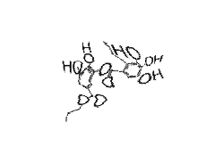 CCCOC(=O)c1cc(O)c(O)c(OC(=O)c2cc(O)c(O)c(O)c2CCC)c1